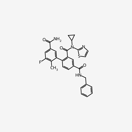 Cc1c(F)cc(C(N)=O)cc1-c1ccc(C(=O)NCc2ccccc2)cc1C(=O)N(c1nccs1)C1CC1